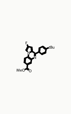 COC(=O)c1ccc2c(c1)nc(-c1ccc(C(C)(C)C)cc1)c1cc(F)cn12